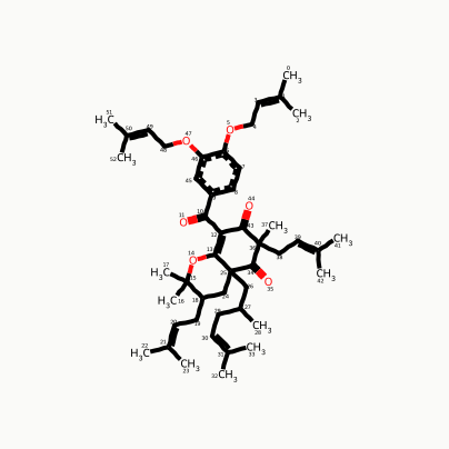 CC(C)=CCOc1ccc(C(=O)C2=C3OC(C)(C)C(CC=C(C)C)CC3(CC(C)CC=C(C)C)C(=O)C(C)(CC=C(C)C)C2=O)cc1OCC=C(C)C